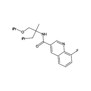 CC(C)CC(C)(COC(C)C)NC(=O)c1cnc2c(F)cccc2c1